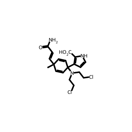 CC1(C=CC(N)=O)C=CC(c2cc[nH]c2C(=O)O)(N(CCCl)CCCl)C=C1